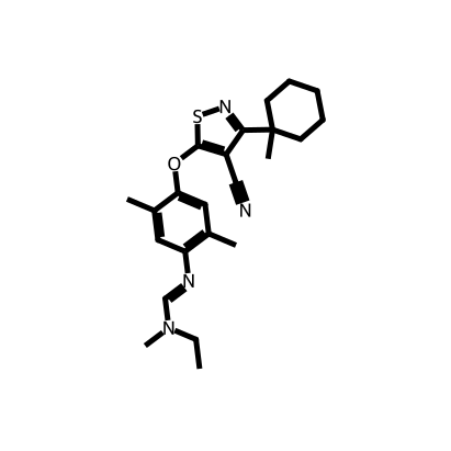 CCN(C)C=Nc1cc(C)c(Oc2snc(C3(C)CCCCC3)c2C#N)cc1C